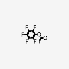 O=C(I)Oc1c(F)c(F)c(F)c(F)c1F